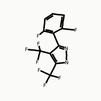 Fc1cccc(F)c1C1=N[N]C(C(F)(F)F)=C1C(F)(F)F